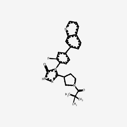 CC(C)(C)C(=O)N1CCC(c2n[nH]c(=O)n2-c2ccc(-c3ccc4cccnc4c3)cc2F)C1